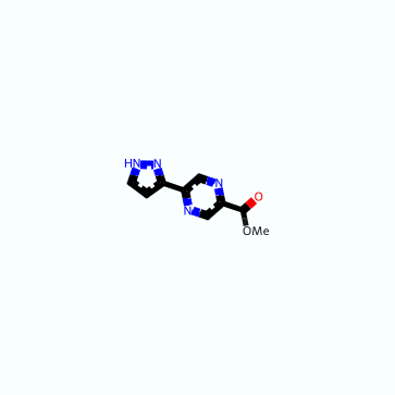 COC(=O)c1cnc(-c2cc[nH]n2)cn1